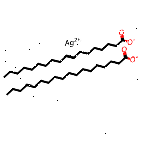 CCCCCCCCCCCCCCCCCC(=O)[O-].CCCCCCCCCCCCCCCCCC(=O)[O-].[Ag+2]